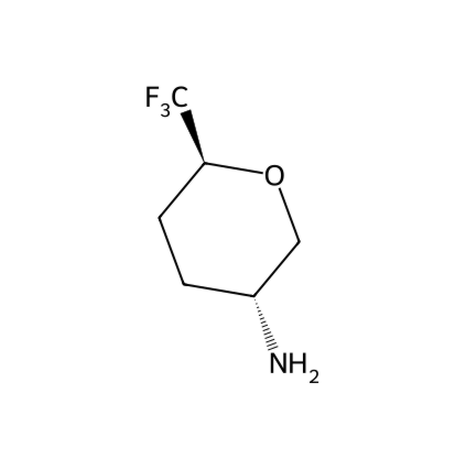 N[C@@H]1CC[C@@H](C(F)(F)F)OC1